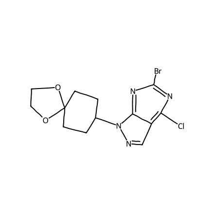 Clc1nc(Br)nc2c1cnn2C1CCC2(CC1)OCCO2